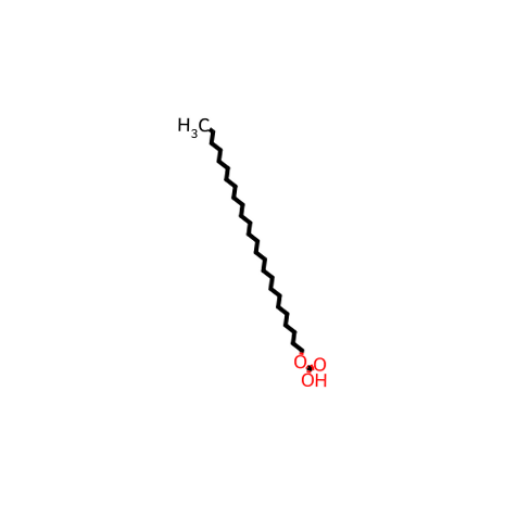 CCCCCCCCCCCCCCCCCCCCCCCCCCOC(=O)O